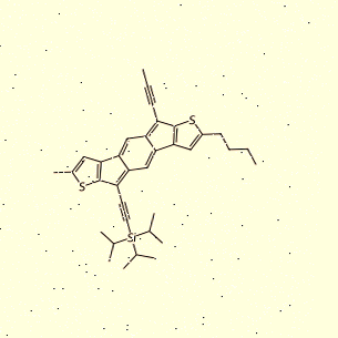 CC#CC1=c2cc3c(cc2-c2cc(CCCC)sc21)=C(C#C[Si](C(C)C)(C(C)C)C(C)C)c1sc(C)cc1-3